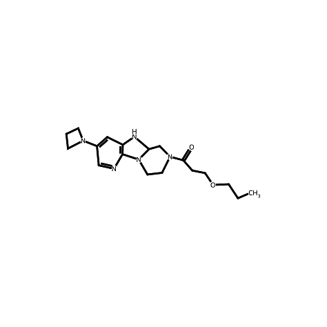 CCCOCCC(=O)N1CCN2c3ncc(N4CCC4)cc3NC2C1